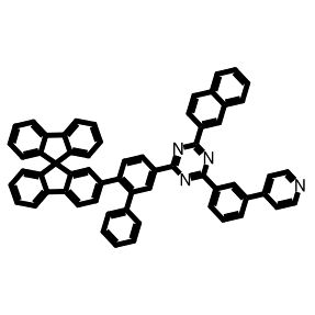 c1ccc(-c2cc(-c3nc(-c4cccc(-c5ccncc5)c4)nc(-c4ccc5ccccc5c4)n3)ccc2-c2ccc3c(c2)C2(c4ccccc4-c4ccccc42)c2ccccc2-3)cc1